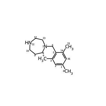 Cc1cc(C)c(CN2CCCNCC2)c(C)c1